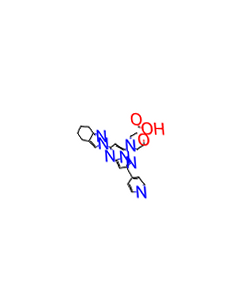 O=CO.c1cc(-c2cc3nc(-n4cc5c(n4)CCCC5)cc(N4CCOCC4)n3n2)ccn1